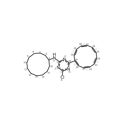 Clc1nc(NC2CCCCCCCCCCC2)nc(C2=C/C=C\C=C/C=C\C=C/C=C\2)n1